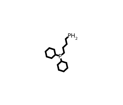 PCCCCP(C1CCCCC1)C1CCCCC1